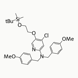 COc1ccc(CN(Cc2ccc(OC)cc2)c2cc(Cl)c(OCCO[Si](C)(C)C(C)(C)C)cn2)cc1